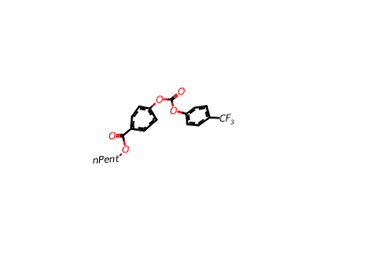 CCCCCOC(=O)c1ccc(OC(=O)Oc2ccc(C(F)(F)F)cc2)cc1